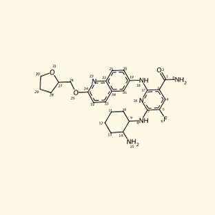 NC(=O)c1cc(F)c(NC2CCCCC2N)nc1Nc1ccc2nc(OCC3CCCO3)ccc2c1